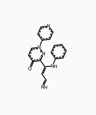 N=C/C=C(\Nc1ccccc1)c1nn(-c2ccncc2)ccc1=O